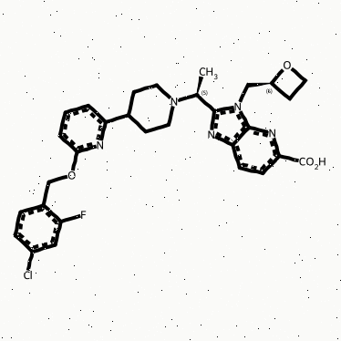 C[C@@H](c1nc2ccc(C(=O)O)nc2n1C[C@@H]1CCO1)N1CCC(c2cccc(OCc3ccc(Cl)cc3F)n2)CC1